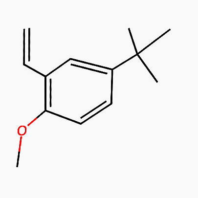 C=Cc1cc(C(C)(C)C)ccc1OC